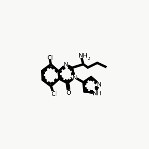 CCCC(N)c1nc2c(Cl)ccc(Cl)c2c(=O)n1-c1cn[nH]c1